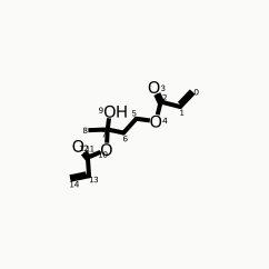 C=CC(=O)OCCC(C)(O)OC(=O)C=C